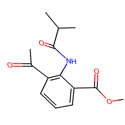 COC(=O)c1cccc(C(C)=O)c1NC(=O)C(C)C